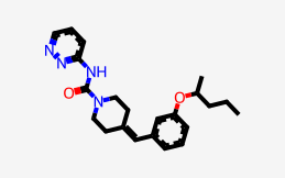 CCCC(C)Oc1cccc(C=C2CCN(C(=O)Nc3cccnn3)CC2)c1